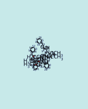 CC(C)(C)OC(=O)N[C@@H](CC(=O)OCc1ccccc1)C(=O)N[C@@H](Cc1ccccc1)C(=O)N[C@@H](Cc1ccccc1)C(=O)O[Si](OCCc1ccccc1)(C(C)(C)C)C(C)(C)C